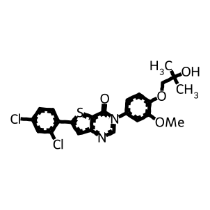 COc1cc(-n2cnc3cc(-c4ccc(Cl)cc4Cl)sc3c2=O)ccc1OCC(C)(C)O